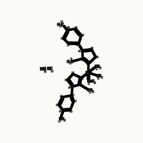 CC1=[C]([Zr]([CH3])([CH3])(=[GeH2])[C]2=C(C)C(c3ccc(C)cc3)=CC2)CC=C1c1ccc(C)cc1.Cl.Cl